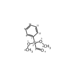 CO[Si](C=O)(OC)c1ccccc1